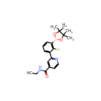 CC1(C)OB(c2cccc(-c3cc(C(=O)NCC#N)ccn3)c2F)OC1(C)C